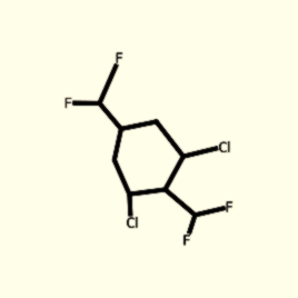 FC(F)C1CC(Cl)C(C(F)F)C(Cl)C1